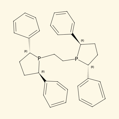 c1ccc([C@H]2CC[C@H](c3ccccc3)P2CCP2[C@@H](c3ccccc3)CC[C@@H]2c2ccccc2)cc1